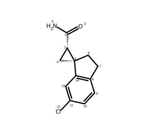 NC(=O)[C@H]1C[C@@]12CCc1ccc(Cl)cc12